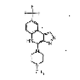 CN1CCN(c2[nH]c3ccc(C(F)(F)F)cc3c3cnnc2-3)CC1